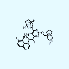 C#Cc1c(F)ccc2cccc(-c3ncc4c(N5C[C@H]6CC[C@@H](C5)O6)nc(OC[C@@]56CCCN5C[C@H](F)C6)nc4c3F)c12